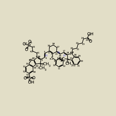 CC1(C)C(/C=C/C2=C(Sc3ccccc3)C(=C/C=C3/N(CCCCCC(=O)O)c4ccccc4C3(C)C)/CCC2)=[N+](CCCS(=O)(=O)[O-])c2sc3ccc(S(=O)(=O)O)cc3c21